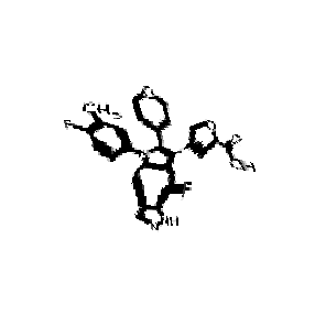 Cc1cc(-n2c(C3CCOCC3)c([C@@H]3CO[C@@H](C(=O)O)C3)c3c(F)c4[nH]ncc4cc32)ccc1F